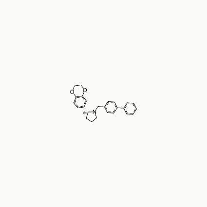 c1ccc(-c2ccc(CN3CCC[C@@H]3c3ccc4c(c3)OCCO4)cc2)cc1